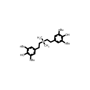 CCCCc1cc(CC[Si](C)(C)CCc2cc(CCCC)c(O)c(CCCC)c2)cc(CCCC)c1O